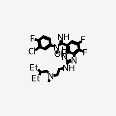 CCC(CC)CN(C)CCNc1nc2c(F)c(F)cc(C(=N)N(O)c3ccc(F)c(Cl)c3)c2[nH]1